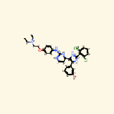 CCN(CC)CCOc1ccc(Nc2nccc(-c3[nH]c(-c4c(Cl)cccc4Cl)nc3-c3cccc(Br)c3)n2)cc1